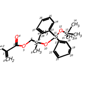 C=C(C)C(=O)OC[Si](C)(C)O[Si](O[Si](C)(C)C)(c1ccccc1)c1ccccc1